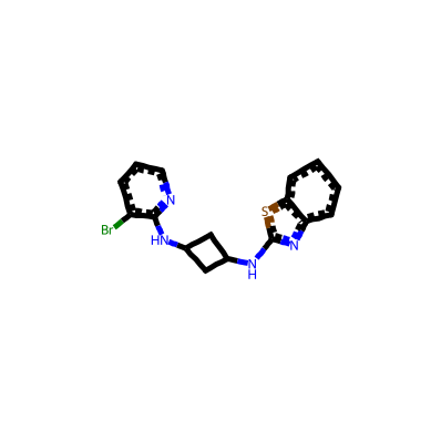 Brc1cccnc1NC1CC(Nc2nc3ccccc3s2)C1